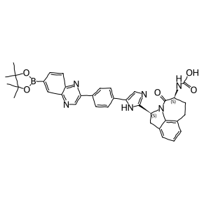 CC1(C)OB(c2ccc3nc(-c4ccc(-c5cnc([C@@H]6Cc7cccc8c7N6C(=O)[C@@H](NC(=O)O)CC8)[nH]5)cc4)cnc3c2)OC1(C)C